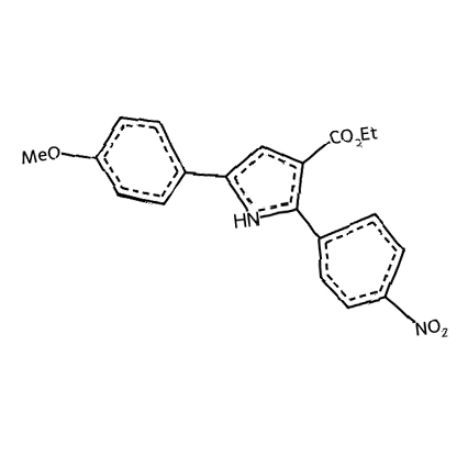 CCOC(=O)c1cc(-c2ccc(OC)cc2)[nH]c1-c1ccc([N+](=O)[O-])cc1